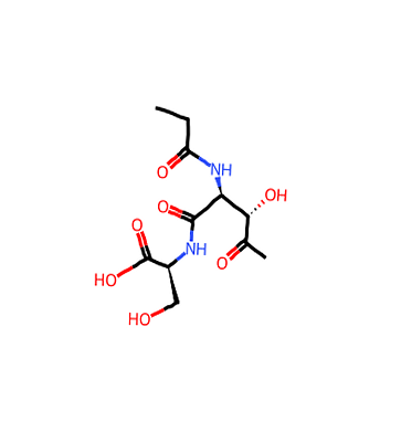 CCC(=O)N[C@H](C(=O)N[C@@H](CO)C(=O)O)[C@H](O)C(C)=O